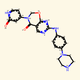 O=C1c2cnc(Nc3ccc(N4CCNCC4)cc3)nc2OCN1c1cc[nH]c(=O)c1